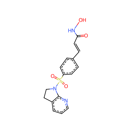 O=C(/C=C/c1ccc(S(=O)(=O)N2CCc3cccnc32)cc1)NO